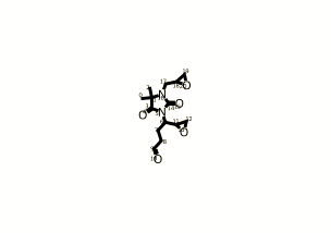 CC1(C)C(=O)N(C(CCC=O)C2CO2)C(=O)N1CC1CO1